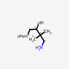 CCCCCCC(CCC)C(C)(C)CN